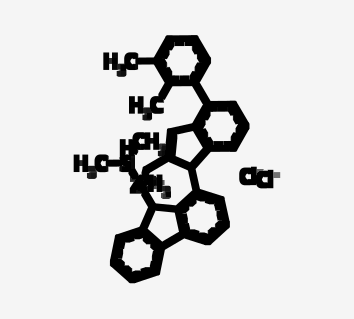 CCC1=Cc2c(-c3cccc(C)c3C)cccc2C1c1cccc2c1[CH]([Zr+2][SiH](C)C)c1ccccc1-2.[Cl-].[Cl-]